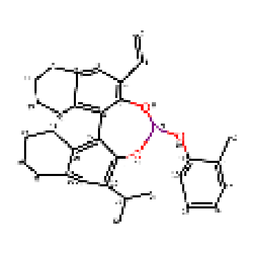 C=Cc1cc2c(c3c1op(Oc1ccccc1C)oc1c(C(C)C)cc4c(c13)CCCC4)CCCC2